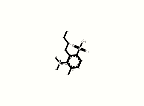 CCCCc1c(S(=O)(=O)O)ccc(C)c1[SiH](C)C